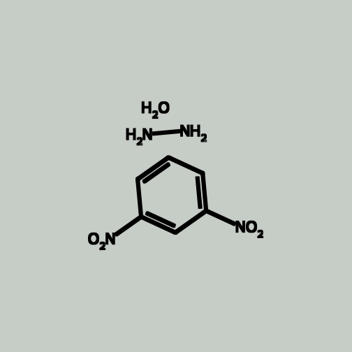 NN.O.O=[N+]([O-])c1cccc([N+](=O)[O-])c1